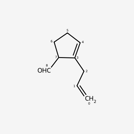 C=CCC1=CCCC1C=O